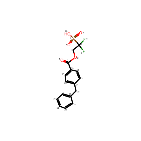 O=C(OCC(F)(F)S(=O)(=O)O)c1ccc(Cc2ccccc2)cc1